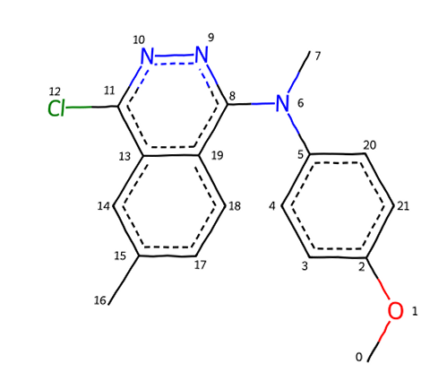 COc1ccc(N(C)c2nnc(Cl)c3cc(C)ccc23)cc1